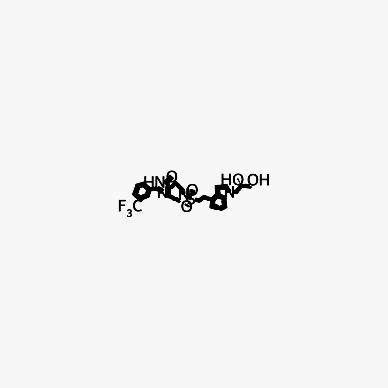 O=C1NC(c2cccc(C(F)(F)F)c2)=NC12CCN(S(=O)(=O)CCc1cccc3c1ccn3C[C@H](O)CO)CC2